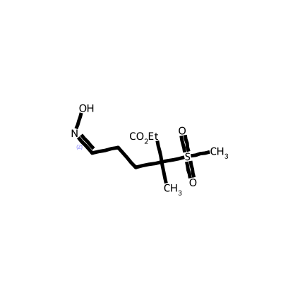 CCOC(=O)C(C)(CC/C=N\O)S(C)(=O)=O